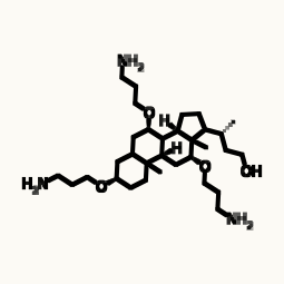 C[C@H](CCO)C1CC[C@H]2C3[C@H](OCCCN)CC4C[C@H](OCCCN)CCC4(C)[C@H]3C[C@H](OCCCN)C12C